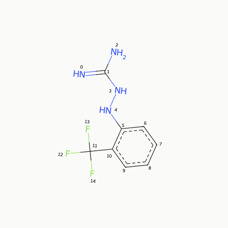 N=C(N)NNc1ccccc1C(F)(F)F